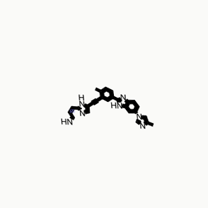 Cc1cn(-c2ccc3nc(-c4ccc(C)c(C#Cc5cnc(/C=C\C=N)[nH]5)c4)[nH]c3c2)cn1